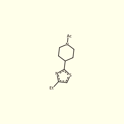 CCc1csc(C2CCN(C(C)=O)CC2)n1